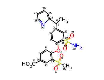 CC(c1ccc(Oc2ccc(C(=O)O)cc2S(C)(=O)=O)c(S(N)(=O)=O)c1)c1ccccn1